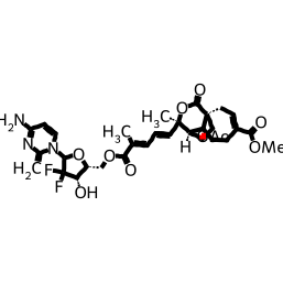 C=C1N=C(N)C=CN1C1O[C@H](COC(=O)/C(C)=C/C=C/[C@@]2(C)OC(=O)[C@]34CC=C(C(=O)OC)CC[C@]3(OC(C)=O)[C@H]2CC4)[C@H](O)C1(F)F